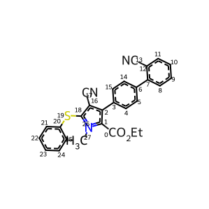 CCOC(=O)c1c(-c2ccc(-c3ccccc3C#N)cc2)c(C#N)c(Sc2ccccc2)n1C